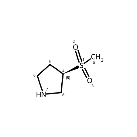 CS(=O)(=O)[C@@H]1CCNC1